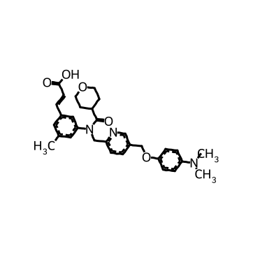 Cc1cc(C=CC(=O)O)cc(N(Cc2ccc(COc3ccc(N(C)C)cc3)cn2)C(=O)C2CCOCC2)c1